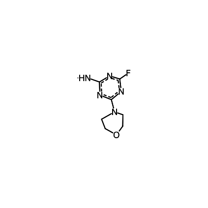 [NH]c1nc(F)nc(N2CCOCC2)n1